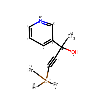 CC(C)S(C#CC(O)(c1cccnc1)C(F)(F)F)(C(C)C)C(C)C